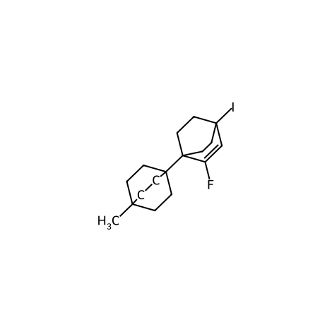 CC12CCC(C34CCC(I)(C=C3F)CC4)(CC1)CC2